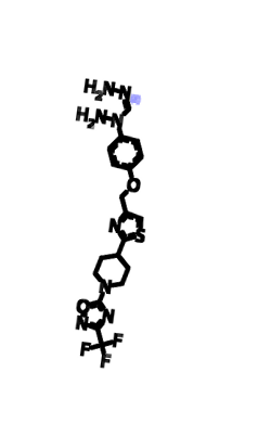 N/N=C\N(N)c1ccc(OCc2csc(C3CCN(c4nc(C(F)(F)F)no4)CC3)n2)cc1